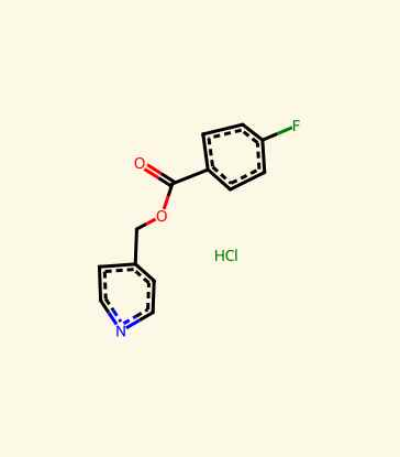 Cl.O=C(OCc1ccncc1)c1ccc(F)cc1